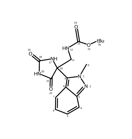 Cn1nc2ccccc2c1C1(CNC(=O)OC(C)(C)C)NC(=O)NC1=O